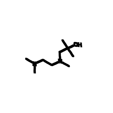 CN(C)CCN(C)CC(C)(C)O